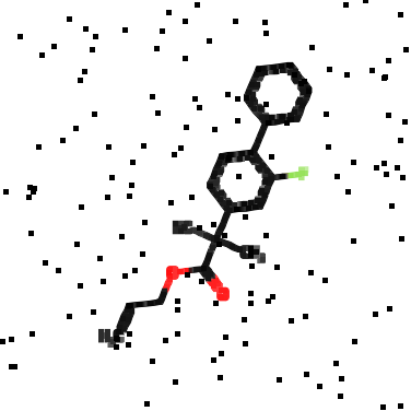 C=CCOC(=O)C(C)(C#N)c1ccc(-c2ccccc2)c(F)c1